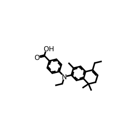 CCC1=CCC(C)(C)c2cc(N(CC)c3ccc(C(=O)O)cc3)c(C)cc21